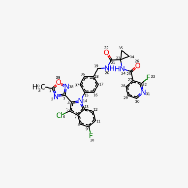 Cc1nc(-c2c(Cl)c3cc(F)ccc3n2-c2ccc(CNC(=O)C3(NC(=O)c4cccnc4F)CC3)cc2)no1